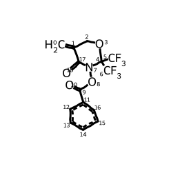 C=C1COC(C(F)(F)F)(C(F)(F)F)N(OC(=O)c2ccccc2)C1=O